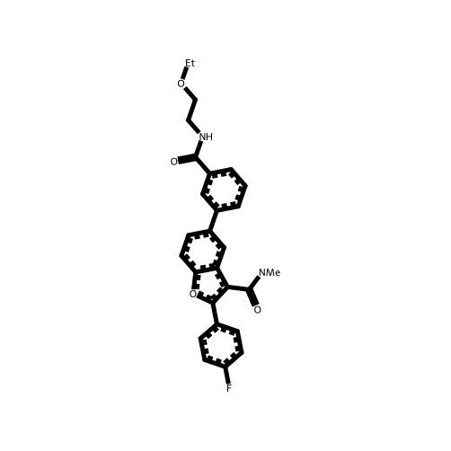 CCOCCNC(=O)c1cccc(-c2ccc3oc(-c4ccc(F)cc4)c(C(=O)NC)c3c2)c1